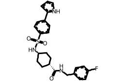 O=C(NCc1ccc(F)cc1)[C@H]1CC[C@H](NS(=O)(=O)c2ccc(-c3ccc[nH]3)cc2)CC1